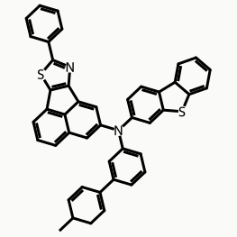 CC1C=CC(c2cccc(N(c3cc4c5c(cccc5c3)-c3sc(-c5ccccc5)nc3-4)c3ccc4c(c3)sc3ccccc34)c2)=CC1